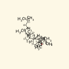 CCN(CC)C[C@]12C[C@H]3[C@@H]4CC[C@H]([C@H](C)CCCC(C)C)[C@@]4(C)CC[C@@H]3[C@@]3(C)CC[C@H](O)C[C@@]13O2